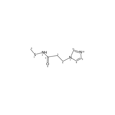 CSNC(=O)CCn1ccnc1